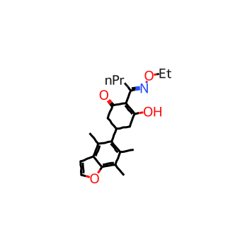 CCC/C(=N\OCC)C1=C(O)CC(c2c(C)c(C)c3occc3c2C)CC1=O